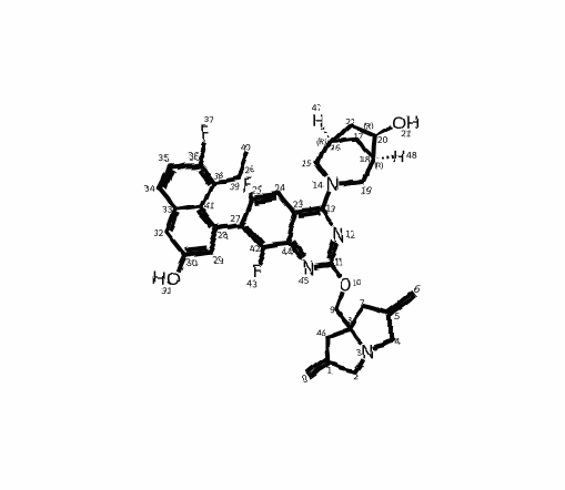 C=C1CN2CC(=C)CC2(COc2nc(N3C[C@@H]4C[C@H](C3)[C@H](O)C4)c3cc(F)c(-c4cc(O)cc5ccc(F)c(CC)c45)c(F)c3n2)C1